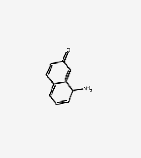 NC1C=CC=C2C=CC(=O)C=C21